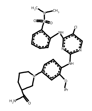 CC(C)Oc1cc(N2CCCC(C(N)=O)C2)ccc1Nc1ncc(Cl)c(Nc2ccccc2S(=O)(=O)N(C)C)n1